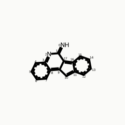 N=C1N=c2ccccc2=C2C=c3ccccc3=C12